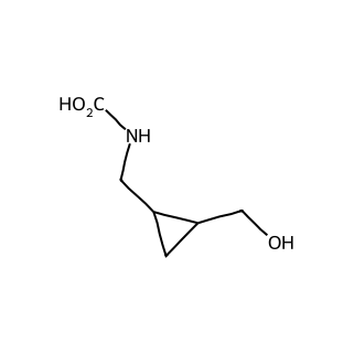 O=C(O)NCC1CC1CO